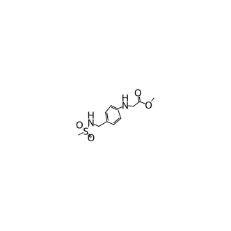 COC(=O)CNc1ccc(CNS(C)(=O)=O)cc1